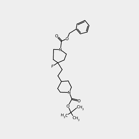 CC(C)(C)OC(=O)N1CCC(CCC2(F)CCN(C(=O)OCc3ccccc3)CC2)CC1